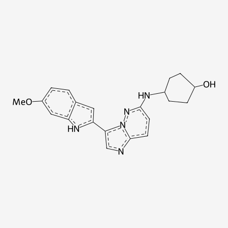 COc1ccc2cc(-c3cnc4ccc(NC5CCC(O)CC5)nn34)[nH]c2c1